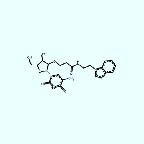 Cc1cn([C@@H]2O[C@H](CO)C(O)C2OCCC(=O)NCCn2cnc3ccccc32)c(=O)[nH]c1=O